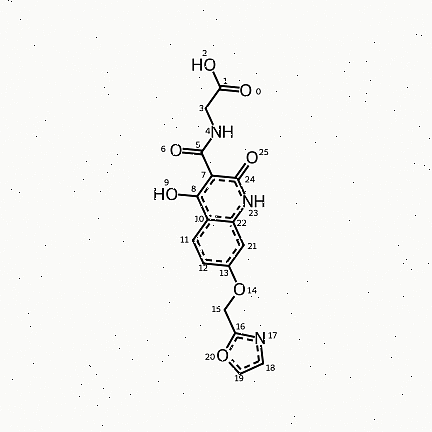 O=C(O)CNC(=O)c1c(O)c2ccc(OCc3ncco3)cc2[nH]c1=O